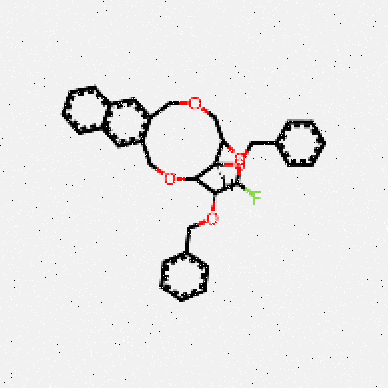 FC1OC2COCc3cc4ccccc4cc3COC([C@@H]1OCc1ccccc1)[C@@H]2OCc1ccccc1